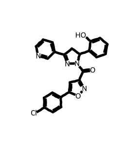 O=C(c1cc(-c2ccc(Cl)cc2)on1)N1N=C(c2cccnc2)CC1c1ccccc1O